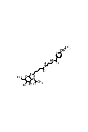 C=NNc1ccc(C(=O)NCCCNC(=O)CCCCOC2OC(CO)C(O)C(O)C2NC(C)=O)cn1